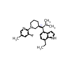 CCc1ccc(/C(=C2/CCCN(c3ncc(C)cc3F)C2)N(C)C)c2cc[nH]c12